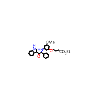 CCOC(=O)CCCOc1cc(NC(C(=O)c2c[nH]c3ccccc23)c2ccccc2)cc(OC)c1